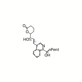 CCCCC[C@@H](O)c1ncc(/C=C/[C@@H](O)C2CCCC(=O)O2)c2ccccc12